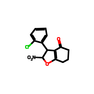 O=C1CCCC2=C1C(c1ccccc1Cl)C([N+](=O)[O-])O2